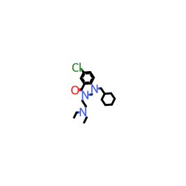 CCN(CC)CCN1CN(CC2CCCCC2)c2ccc(Cl)cc2C1=O